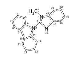 Cn1c(-n2c3ccccc3c3ccccc32)nc2ccccc21